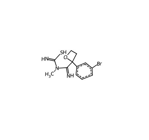 CN(C(=N)S)C(=N)C1(c2cccc(Br)c2)CCO1